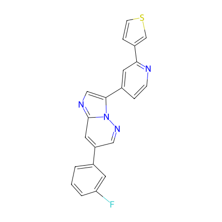 Fc1cccc(-c2cnn3c(-c4ccnc(-c5ccsc5)c4)cnc3c2)c1